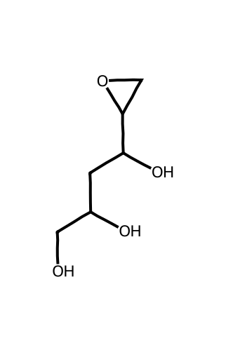 OCC(O)CC(O)C1CO1